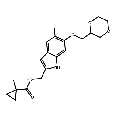 CC1(C(=O)NCc2cc3cc(Cl)c(OCC4COCCO4)cc3[nH]2)CC1